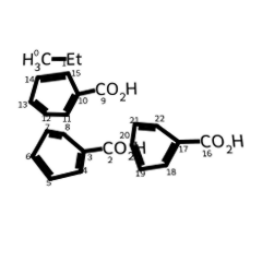 CCC.O=C(O)c1ccccc1.O=C(O)c1ccccc1.O=C(O)c1ccccc1